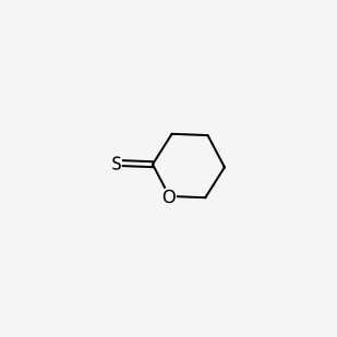 S=C1CCCCO1